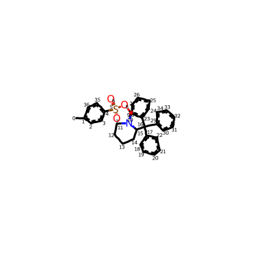 Cc1ccc(S(=O)(=O)OCN2CCCCC2C(c2ccccc2)(c2ccccc2)c2ccccc2)cc1